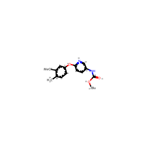 COc1cc(Oc2ccc(NC(=O)OC(C)(C)C)cn2)ccc1C